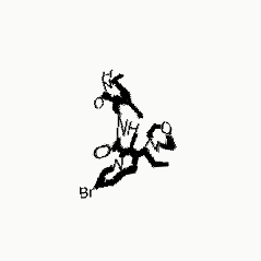 CCC(c1cc2cc(Br)cn2c(C(=O)NCc2c(C)cc(C)[nH]c2=O)c1C)N1CCOCC1